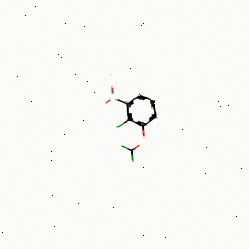 OB(O)c1cccc(OC(F)F)c1Cl